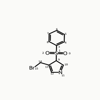 O=S(=O)(c1ccccc1)C1C=NC=C1CBr